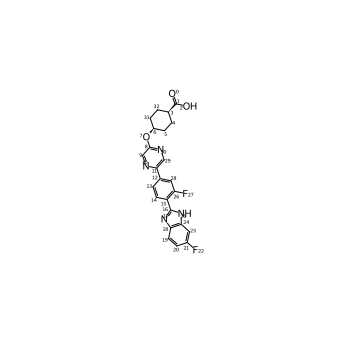 O=C(O)[C@H]1CC[C@@H](Oc2cnc(-c3ccc(-c4nc5ccc(F)cc5[nH]4)c(F)c3)cn2)CC1